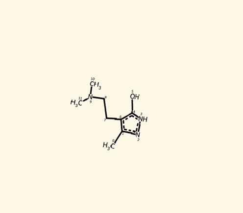 Cc1n[nH]c(O)c1CCN(C)C